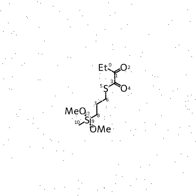 CCC(=O)C(=O)SCCC[Si](C)(OC)OC